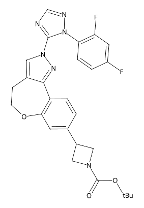 CC(C)(C)OC(=O)N1CC(c2ccc3c(c2)OCCc2cn(-c4ncnn4-c4ccc(F)cc4F)nc2-3)C1